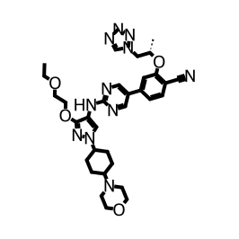 CCOCCOc1nn(C2CCC(N3CCOCC3)CC2)cc1Nc1ncc(-c2ccc(C#N)c(O[C@@H](C)Cn3cnnn3)c2)cn1